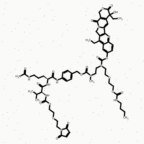 CCCCNC(=O)OCCOCCN(CCN(C)C(=O)OCc1ccc(NC(=O)[C@H](CCCNC(N)=O)NC(=O)[C@@H](NC(=O)OCCOCCN2C(=O)C=CC2=O)C(C)C)cc1)C(=O)Oc1ccc2nc3c(c(CC)c2c1)Cn1c-3cc2c(c1=O)COC(=O)C2(O)CC